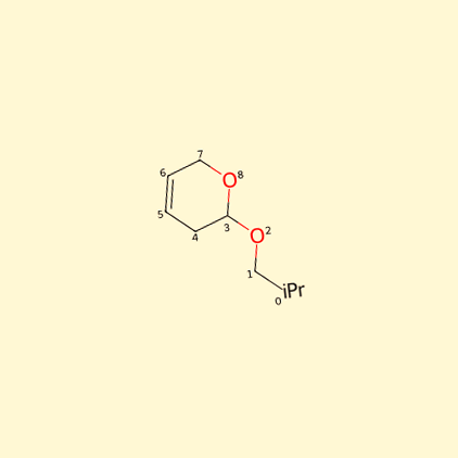 CC(C)COC1CC=CCO1